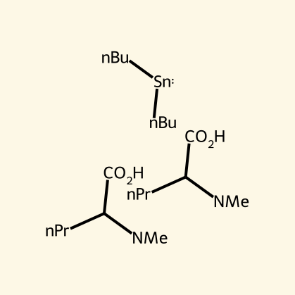 CCCC(NC)C(=O)O.CCCC(NC)C(=O)O.CCC[CH2][Sn][CH2]CCC